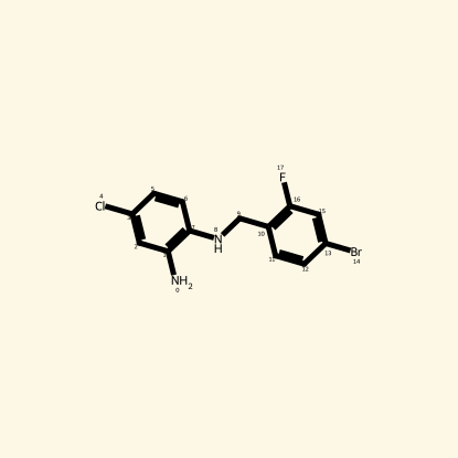 Nc1cc(Cl)ccc1NCc1ccc(Br)cc1F